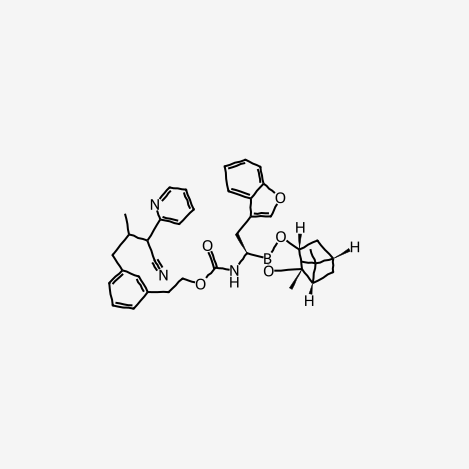 CC(Cc1cccc(CCOC(=O)N[C@@H](Cc2coc3ccccc23)B2O[C@@H]3C[C@@H]4C[C@@H](C4(C)C)[C@]3(C)O2)c1)C(C#N)c1ccccn1